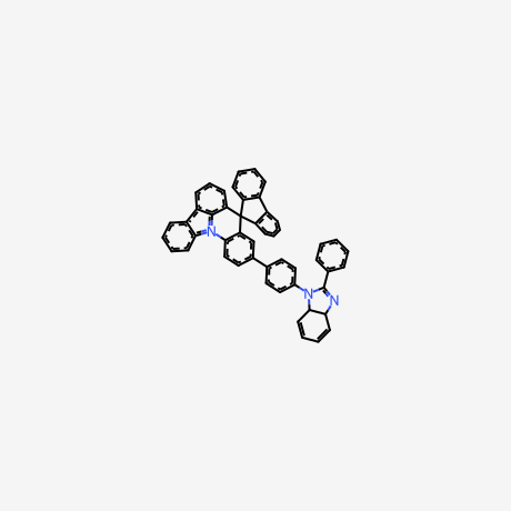 C1=CC2N=C(c3ccccc3)N(c3ccc(-c4ccc5c(c4)C4(c6ccccc6-c6ccccc64)c4cccc6c7ccccc7n-5c46)cc3)C2C=C1